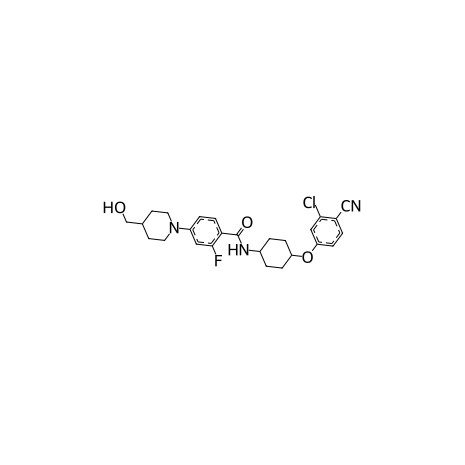 N#Cc1ccc(OC2CCC(NC(=O)c3ccc(N4CCC(CO)CC4)cc3F)CC2)cc1Cl